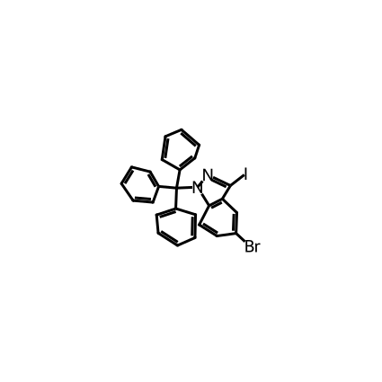 Brc1ccc2c(c1)c(I)nn2C(c1ccccc1)(c1ccccc1)c1ccccc1